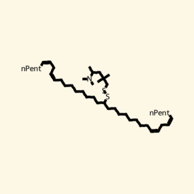 CCCCC/C=C\C/C=C\CCCCCCCCC(CCCCCCCC/C=C\C/C=C\CCCCC)SSCC(C)(C)CC(C)N(C)C